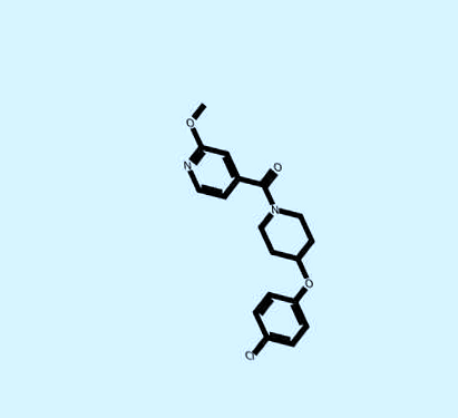 COc1cc(C(=O)N2CCC(Oc3ccc(Cl)cc3)CC2)ccn1